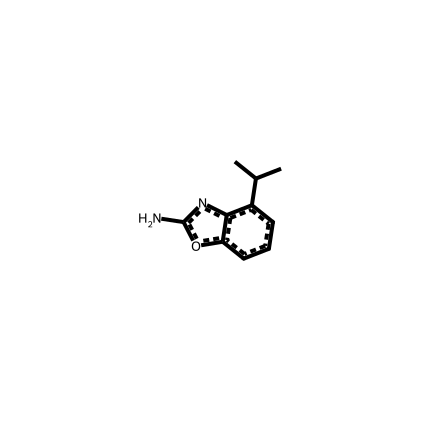 CC(C)c1cccc2oc(N)nc12